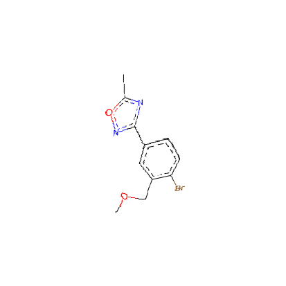 COCc1cc(-c2noc(C)n2)ccc1Br